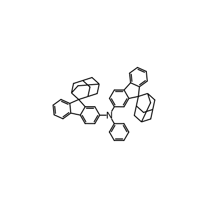 c1ccc(N(c2ccc3c(c2)C2(c4ccccc4-3)C3CC4CC(C3)CC2C4)c2ccc3c(c2)C2(c4ccccc4-3)C3CC4CC(C3)CC2C4)cc1